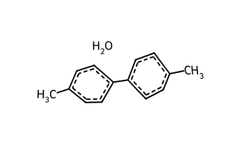 Cc1ccc(-c2ccc(C)cc2)cc1.O